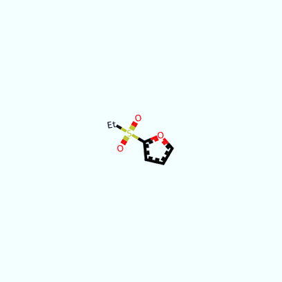 CCS(=O)(=O)c1ccco1